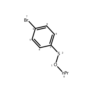 CCCOSc1ccc(Br)cc1